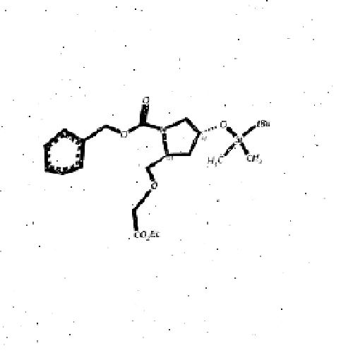 CCOC(=O)COC[C@@H]1C[C@@H](O[Si](C)(C)C(C)(C)C)CN1C(=O)OCc1ccccc1